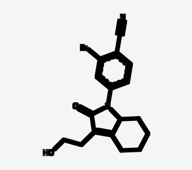 N#Cc1ccc(N2C(=O)C(CCO)=C3CCCCC32)cc1Br